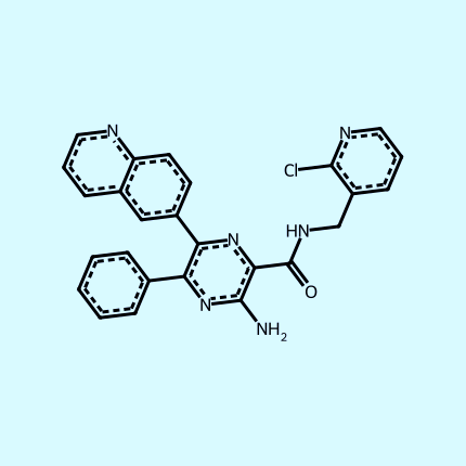 Nc1nc(-c2ccccc2)c(-c2ccc3ncccc3c2)nc1C(=O)NCc1cccnc1Cl